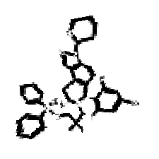 C[C@@H]1Cc2c(ccc3c2cnn3C2CCCCO2)[C@@H](c2c(F)cc(Br)cc2F)N1CC(C)(F)CO[Si](c1ccccc1)(c1ccccc1)C(C)(C)C